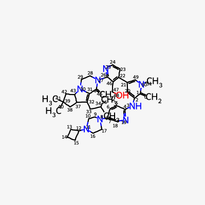 C=C1C(Nc2ccc(N3CCN(C4CCC4)CC3)cn2)=CC(c2ccnc(N3CCN4C(=C(CC(C)C)C5CC(C)(C)CC54)C3=C)c2CO)=CN1C